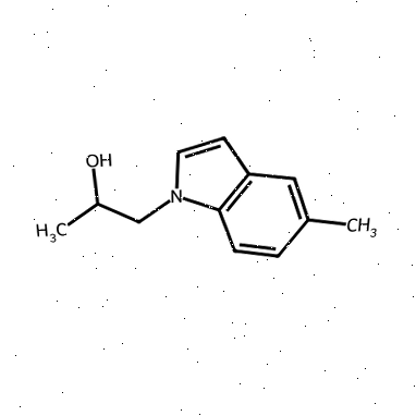 Cc1ccc2c(ccn2CC(C)O)c1